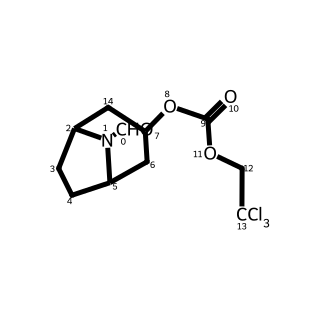 O=CN1C2CCC1CC(OC(=O)OCC(Cl)(Cl)Cl)C2